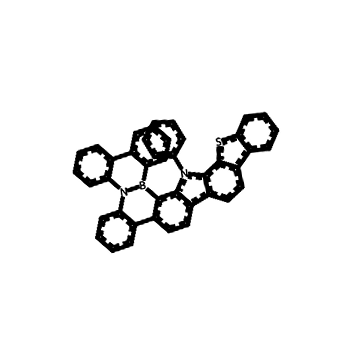 c1ccc(-n2c3c4c(ccc3c3ccc5c6ccccc6sc5c32)-c2ccccc2N2B4c3ccccc3-c3ccccc32)cc1